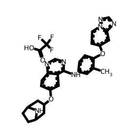 Cc1cc(Nc2ncnc3ccc(OC4CC5CCC(C4)N5)cc23)ccc1Oc1ccn2ncnc2c1.O=C(O)C(F)(F)F